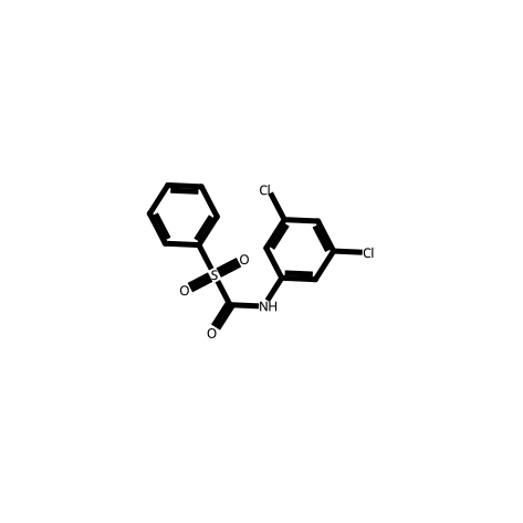 O=C(Nc1cc(Cl)cc(Cl)c1)S(=O)(=O)c1ccccc1